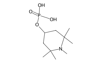 CN1C(C)(C)CC(OP(=O)(O)O)CC1(C)C